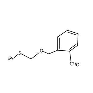 CC(C)SCOCc1ccccc1C=O